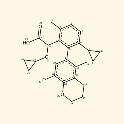 Cc1ccc(C2CC2)c(-c2cc(F)c3c(c2C)CCCO3)c1C(OC1CC1)C(=O)O